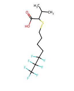 CC(C)C(SCCCCC(F)(F)C(F)(F)C(F)(F)F)C(=O)O